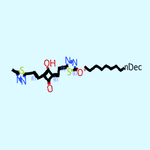 CCCCCCCCCCCCCCCCCC/[O+]=C1N=N/C(=C/C=C2/C(=O)C(/C=C/c3nnc(C)s3)=C2O)S\1